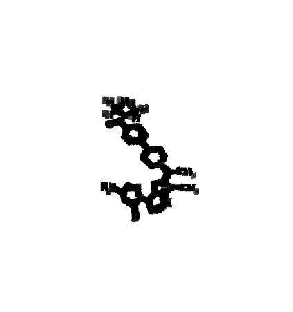 [2H]C([2H])([2H])N(C(=O)c1ccc(C2CCN([C@@H](C)c3cc4c(-n5ncc(N)cc5=O)ccnc4n3C)CC2)cc1)C([2H])([2H])[2H]